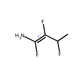 CC(F)/C(F)=C(/N)F